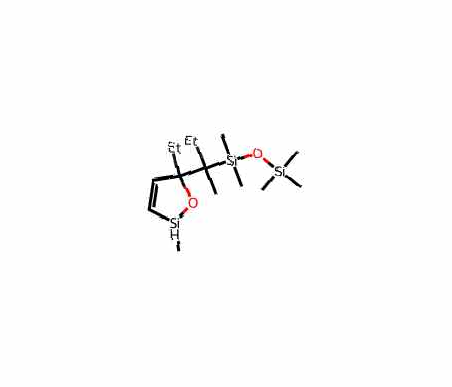 CCC1(C(C)(CC)[Si](C)(C)O[Si](C)(C)C)C=C[SiH](C)O1